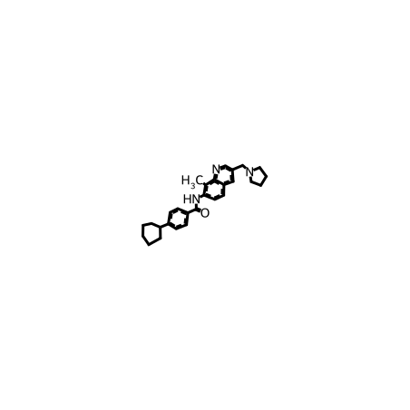 Cc1c(NC(=O)c2ccc(C3CCCCC3)cc2)ccc2cc(CN3CCCC3)cnc12